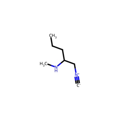 [C-]#[N+]CC(CCC)NC